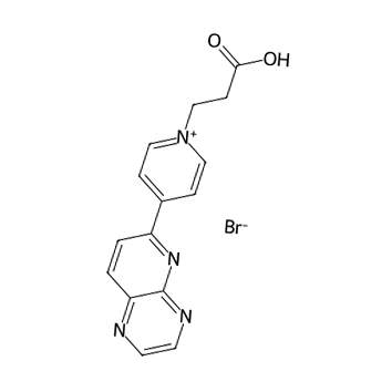 O=C(O)CC[n+]1ccc(-c2ccc3nccnc3n2)cc1.[Br-]